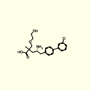 CC(COCCO)(C[C@H](N)Cc1ccc(-c2cccc(Cl)c2)cc1)C(=O)O